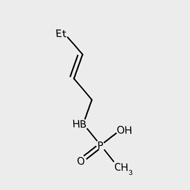 CC/C=C/CBP(C)(=O)O